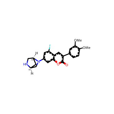 COc1ccc(-c2cc3c(F)cc(N4C[C@@H]5C[C@H]4CN5)cc3oc2=O)cc1OC